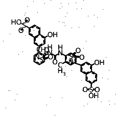 Cc1c2ccc(c1NC(=O)Nc1c3ccc(c1C)N(c1cc(O)c4ccc(S(=O)(=O)O)cc4c1)S3(=O)=O)S(=O)(=O)N2c1cc(O)c2ccc(S(=O)(=O)O)cc2c1